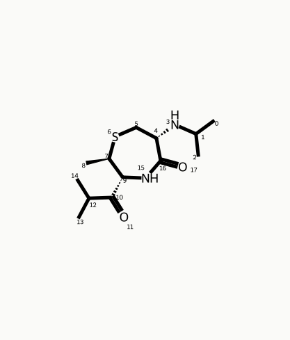 CC(C)N[C@H]1CS[C@H](C)[C@@H](C(=O)C(C)C)NC1=O